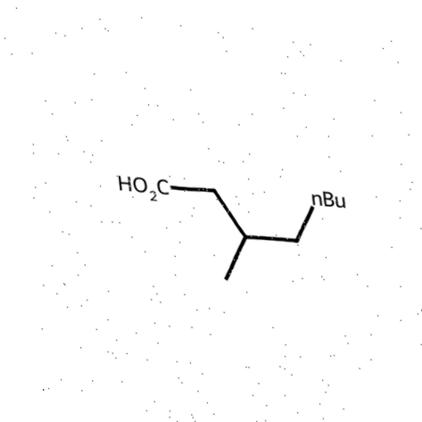 CCCCCC(C)CC(=O)O